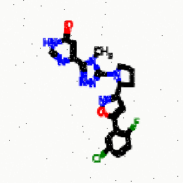 Cn1c(-c2cc(=O)[nH]cn2)nnc1N1CCCC1c1cc(-c2cc(Cl)ccc2F)on1